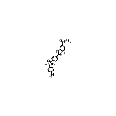 NC(=O)c1ccc2[nH]c(-c3ccc(S(=O)(=O)Nc4ccc(N=O)cc4)cc3)nc2c1